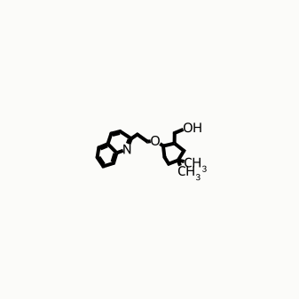 CC1(C)CCC(OCCc2ccc3ccccc3n2)C(CO)C1